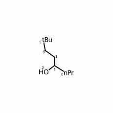 CCCC(O)CCC(C)(C)C